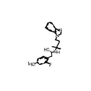 CC(C)(CCn1cnc2ccccc21)NC(O)Cc1ccc(O)cc1F